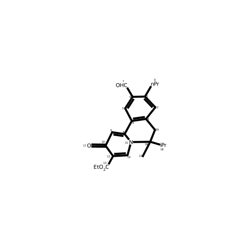 CCCc1cc2c(cc1C=O)-c1cc(=O)c(C(=O)OCC)cn1C(C)(C(C)C)C2